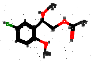 CCCCOc1ccc(F)cc1[C@H](COC(=O)CCC)OC(C)C